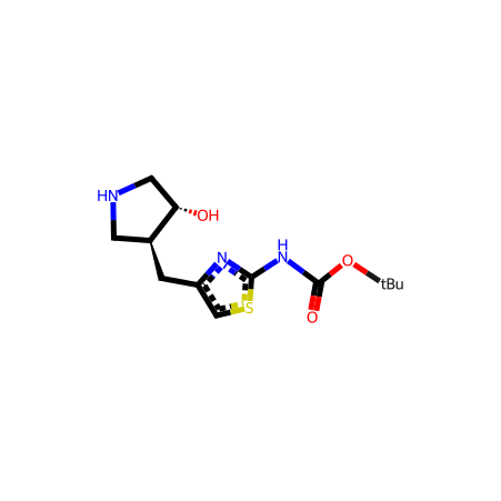 CC(C)(C)OC(=O)Nc1nc(C[C@H]2CNC[C@@H]2O)cs1